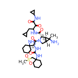 CC1(N)[C@@H]2[C@@H](C(=O)NC(CC3CC3)C(=O)C(=O)NC3CC3)N(C(=O)[C@@H](NC(=O)NC3(CS(C)(=O)=O)CCCCC3)C3(N)CCCCC3)C[C@@H]21